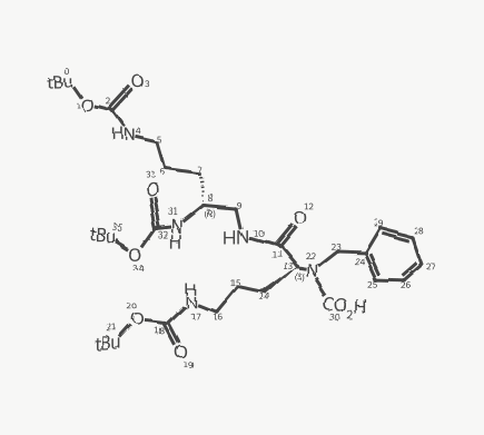 CC(C)(C)OC(=O)NCCC[C@H](CNC(=O)[C@H](CCCNC(=O)OC(C)(C)C)N(Cc1ccccc1)C(=O)O)NC(=O)OC(C)(C)C